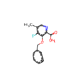 Cc1cnc(C(=O)O)c(OCc2ccccc2)c1F